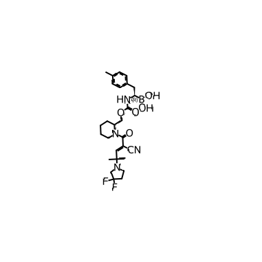 Cc1ccc(C[C@H](NC(=O)OCC2CCCCN2C(=O)C(C#N)=CC(C)(C)N2CCC(F)(F)C2)B(O)O)cc1